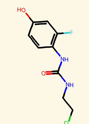 O=C(NCCCl)Nc1ccc(O)cc1F